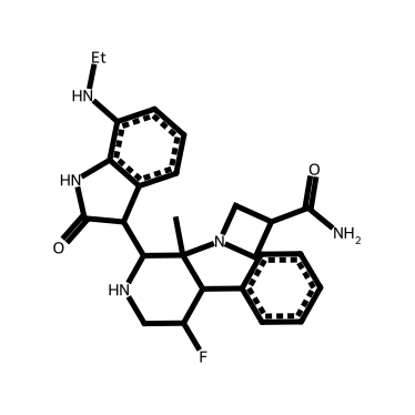 CCNc1cccc2c1NC(=O)C2C1NCC(F)C(c2ccccc2)C1(C)N1CC(C(N)=O)C1